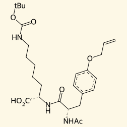 C=CCOc1ccc(C[C@H](NC(C)=O)C(=O)N[C@@H](CCCCCNC(=O)OC(C)(C)C)C(=O)O)cc1